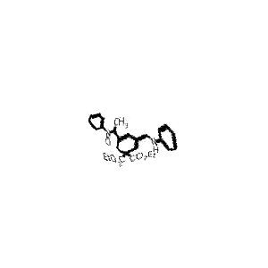 CCOC(=O)C1(C(=O)OCC)CC(C(C)N(Cl)c2ccccc2)=C/C(=C/Nc2ccccc2)C1